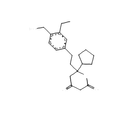 CCc1cc(CCC2(C3CCCC3)CC(=O)CC(=O)O2)ccc1CO